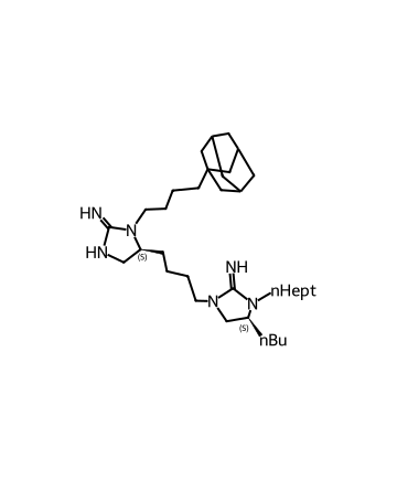 CCCCCCCN1C(=N)N(CCCC[C@H]2CNC(=N)N2CCCCC23CC4CC(CC(C4)C2)C3)C[C@@H]1CCCC